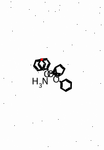 C1=CC2=C(Oc3ccccc3)C=C1C2(Oc1ccccc1)Oc1ccccc1.N